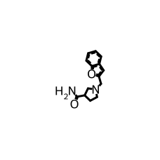 NC(=O)C1CCN(Cc2cc3ccccc3o2)C1